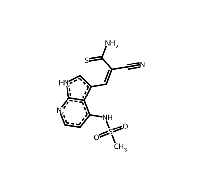 CS(=O)(=O)Nc1ccnc2[nH]cc(C=C(C#N)C(N)=S)c12